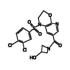 O=C(c1cnc2c(c1)N(S(=O)(=O)c1ccc(Cl)c(Cl)c1)CCO2)N1CC(O)C1